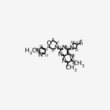 Cc1nc2nc(N3CCO[C@@H](c4cnn(C)c4)C3)nc(N3CC(F)C3)c2nc1C